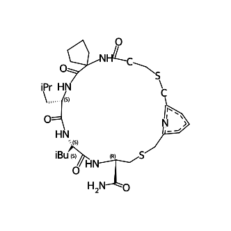 CC[C@H](C)[C@@H]1NC(=O)[C@H](CC(C)C)NC(=O)C2(CCCC2)NC(=O)CCSCc2cccc(n2)CSC[C@@H](C(N)=O)NC1=O